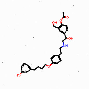 CC(=O)Oc1ccc([C@@H](O)CNCCc2ccc(OCCCCc3cccc(O)c3)cc2)cc1CO